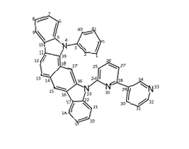 c1ccc(-n2c3ccccc3c3ccc4cc5c6ccccc6n(-c6cccc(-c7cccnc7)n6)c5cc4c32)cc1